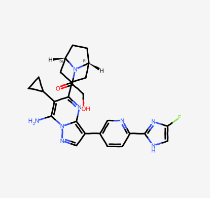 Nc1c(C2CC2)c(C2C[C@H]3CC[C@@H](C2)N3C(=O)CO)nc2c(-c3ccc(-c4nc(F)c[nH]4)nc3)cnn12